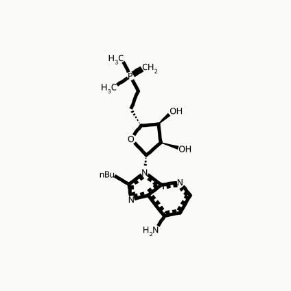 C=P(C)(C)CC[C@H]1O[C@@H](n2c(CCCC)nc3c(N)ccnc32)[C@H](O)[C@@H]1O